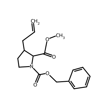 C=CCC1CCN(C(=O)OCc2ccccc2)C1C(=O)OC